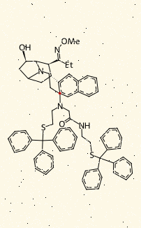 CC/C(=N\OC)[C@@H]1C2[C@H](O)CC(C[C@H]1c1ccc3ccccc3c1)N2CCCN(CCSC(c1ccccc1)(c1ccccc1)c1ccccc1)CC(=O)NCCSC(c1ccccc1)(c1ccccc1)c1ccccc1